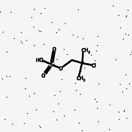 CC(C)(Cl)COS(=O)(=O)O